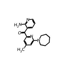 Cc1cc(C(=O)c2cccnc2N)nc(N2CCCCCC2)c1